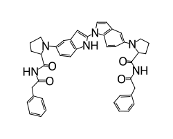 O=C(Cc1ccccc1)NC(=O)C1CCCN1c1ccc2[nH]c(-n3ccc4cc(N5CCCC5C(=O)NC(=O)Cc5ccccc5)ccc43)cc2c1